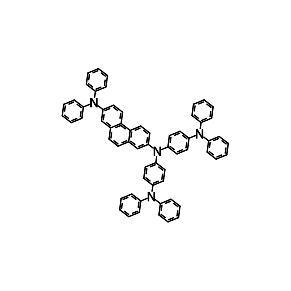 c1ccc(N(c2ccccc2)c2ccc(N(c3ccc(N(c4ccccc4)c4ccccc4)cc3)c3ccc4c(ccc5cc(N(c6ccccc6)c6ccccc6)ccc54)c3)cc2)cc1